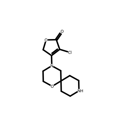 O=C1OCC(N2CCOC3(CCNCC3)C2)=C1Cl